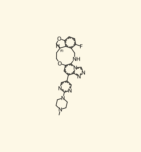 CN1CCN(c2ncc(-c3cc4c(n5cnnc35)NCc3c(F)ccc5c3[C@@H](CCO4)CO5)cn2)CC1